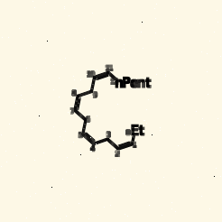 [CH2]C/C=C\C/C=C\C/C=C\C/C=C\CCCCC